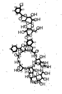 CC(c1ccccc1)C1NC(=O)CNC(=O)C(CO)NC(=O)C(C(O)C2CNC(=N)N2C2OC(CO)C(O)C(O)C2O)NC(=O)C(C(O)C2CNC(=N)N2)NC(=O)C(Cc2ccc(OC3OC(CO)C(OC4OC5COC(c6cccc(Cl)c6)OC5C(O)C4O)C(O)C3O)cc2)NC1=O